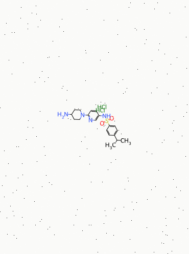 CC(C)c1ccc(S(=O)(=O)Nc2ccc(N3CCC(N)CC3)nc2)cc1.Cl.Cl